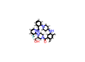 Cc1cc(C)c(C(=O)N2CCN(c3ncccc3F)[C@H](CO)C2)cc1NC1CCN(c2cc#ccc2C#N)CC1